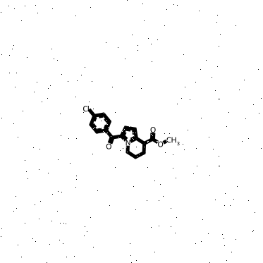 COC(=O)C1CCCn2c(C(=O)c3ccc(Cl)cc3)ccc21